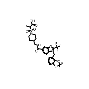 CC(C(=O)O)S(=O)(=O)N1CCC(CNC(=O)c2ccc3c(c2)nc(C(F)(F)F)n3Cc2cccc3c2OC(F)(F)O3)CC1